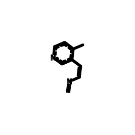 C=N/C=C\c1cnccc1C